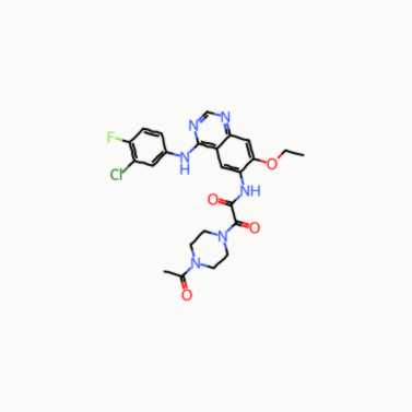 CCOc1cc2ncnc(Nc3ccc(F)c(Cl)c3)c2cc1NC(=O)C(=O)N1CCN(C(C)=O)CC1